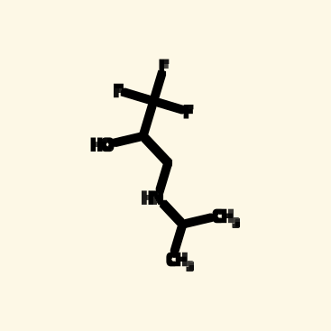 CC(C)NCC(O)C(F)(F)F